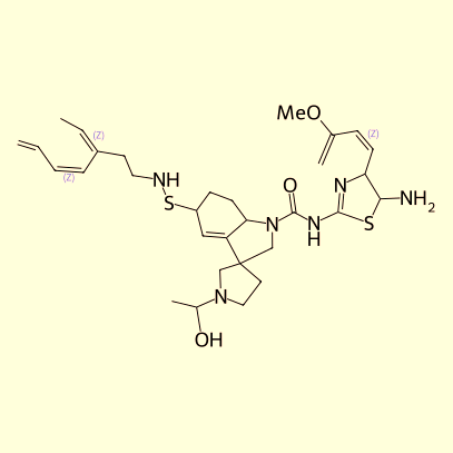 C=C/C=C\C(=C/C)CCNSC1C=C2C(CC1)N(C(=O)NC1=NC(/C=C\C(=C)OC)C(N)S1)CC21CCN(C(C)O)C1